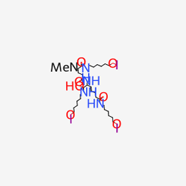 CNC(CCC(=O)NC(C=CCCC(=O)NCCCCCCOI)C(O)NCCCCCCOI)C(=O)NCCCCCCOI